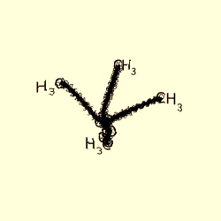 CCCCCCCCCCCCCCCCCCOc1cc(C(=O)OCC(=O)OC)cc(OCCCCCCCCCCCCCCCCCC)c1OCCCCCCCCCCCCCCCCCC